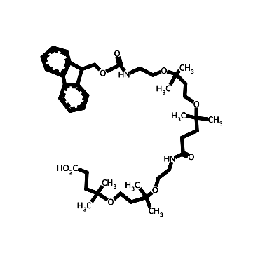 CC(C)(CCOC(C)(C)CCC(=O)O)OCCNC(=O)CCC(C)(C)OCCC(C)(C)OCCNC(=O)OCC1c2ccccc2-c2ccccc21